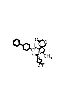 C[C@@H]1C[C@@]2(COCC(=O)N2)[C@H](COC2CCC(c3ccccc3)CC2)N1C(=O)N1CC(F)(F)C1